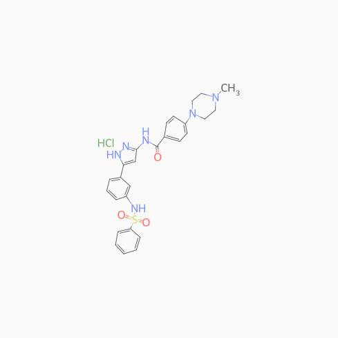 CN1CCN(c2ccc(C(=O)Nc3cc(-c4cccc(NS(=O)(=O)c5ccccc5)c4)[nH]n3)cc2)CC1.Cl